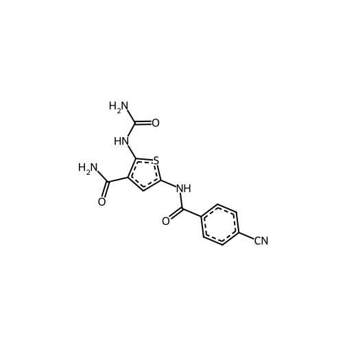 N#Cc1ccc(C(=O)Nc2cc(C(N)=O)c(NC(N)=O)s2)cc1